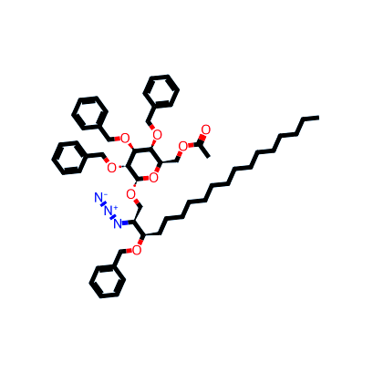 CCCCCCCCCCCCCCC[C@@H](OCc1ccccc1)[C@H](CO[C@H]1O[C@H](COC(C)=O)[C@H](OCc2ccccc2)[C@H](OCc2ccccc2)[C@H]1OCc1ccccc1)N=[N+]=[N-]